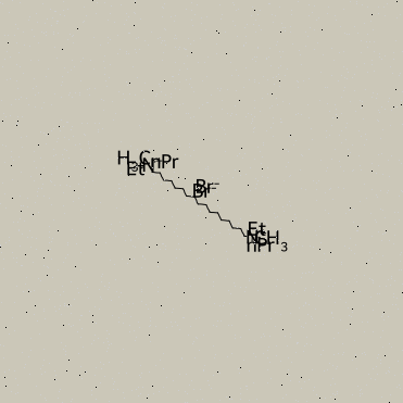 CCC[N+](C)(CC)CCCCCCCCCCCCCCCCC[N+](C)(CC)CCC.[Br-].[Br-]